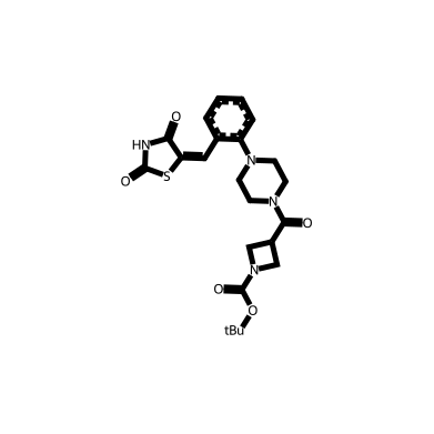 CC(C)(C)OC(=O)N1CC(C(=O)N2CCN(c3ccccc3C=C3SC(=O)NC3=O)CC2)C1